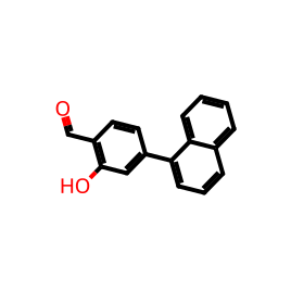 O=Cc1ccc(-c2cccc3ccccc23)cc1O